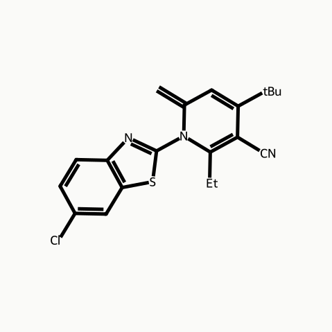 C=C1C=C(C(C)(C)C)C(C#N)=C(CC)N1c1nc2ccc(Cl)cc2s1